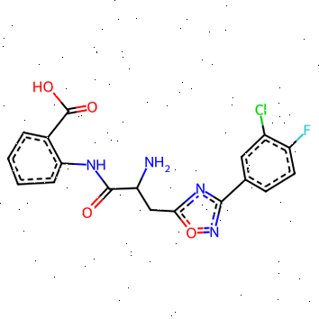 NC(Cc1nc(-c2ccc(F)c(Cl)c2)no1)C(=O)Nc1ccccc1C(=O)O